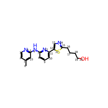 Cc1ccnc(Nc2cccc(-c3cnc(CCCCO)s3)n2)c1